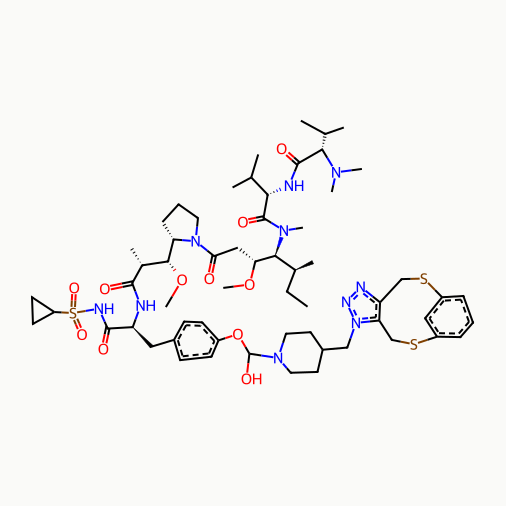 CC[C@H](C)[C@@H]([C@@H](CC(=O)N1CCC[C@H]1[C@H](OC)[C@@H](C)C(=O)N[C@@H](Cc1ccc(OC(O)N2CCC(Cn3nnc4c3CSc3cccc(c3)SC4)CC2)cc1)C(=O)NS(=O)(=O)C1CC1)OC)N(C)C(=O)[C@@H](NC(=O)[C@H](C(C)C)N(C)C)C(C)C